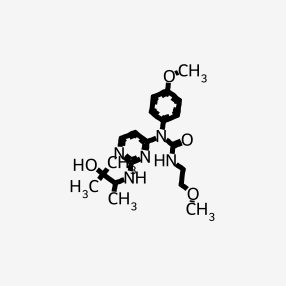 COCCNC(=O)N(c1ccc(OC)cc1)c1ccnc(NC(C)C(C)(C)O)n1